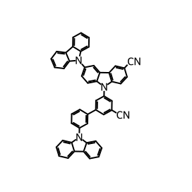 N#Cc1cc(-c2cccc(-n3c4ccccc4c4ccccc43)c2)cc(-n2c3ccc(C#N)cc3c3cc(-n4c5ccccc5c5ccccc54)ccc32)c1